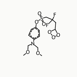 COCN(COC)c1ccc(OS(=O)(=O)CC(F)(F)CC2OOO2)cc1